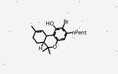 CCCCCc1cc2c(c(O)c1Br)C1C=C(C)CC[C@H]1C(C)(C)O2